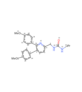 COc1ccc(-c2ccc(CNC(=O)NC(C)C)nc2-c2ccc(OC)cc2)cc1